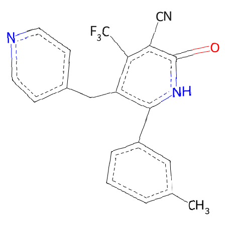 Cc1cccc(-c2[nH]c(=O)c(C#N)c(C(F)(F)F)c2Cc2ccncc2)c1